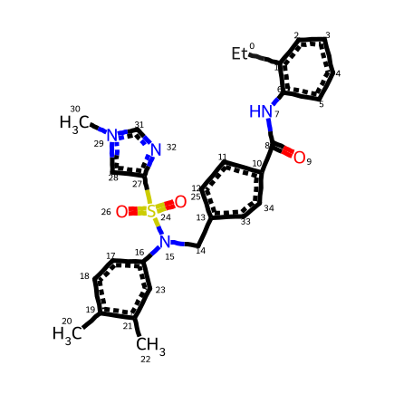 CCc1ccccc1NC(=O)c1ccc(CN(c2ccc(C)c(C)c2)S(=O)(=O)c2cn(C)cn2)cc1